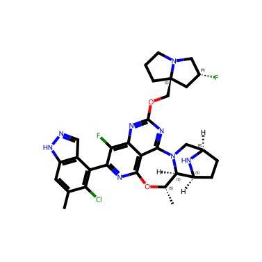 Cc1cc2[nH]ncc2c(-c2nc3c4c(nc(OC[C@@]56CCCN5C[C@H](F)C6)nc4c2F)N2C[C@H]4CC[C@H](N4)[C@H]2[C@H](C)O3)c1Cl